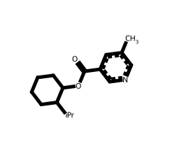 Cc1cncc(C(=O)OC2CCCCC2C(C)C)c1